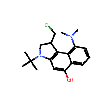 CN(C)c1cccc2c(O)cc3c(c12)C(CCl)CN3C(C)(C)C